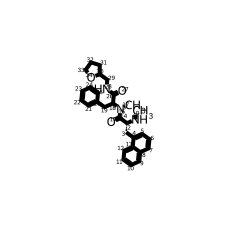 CN[C@H](Cc1cccc2ccccc12)C(=O)N(C)C(Cc1ccccc1)C(=O)NCC1CCCO1